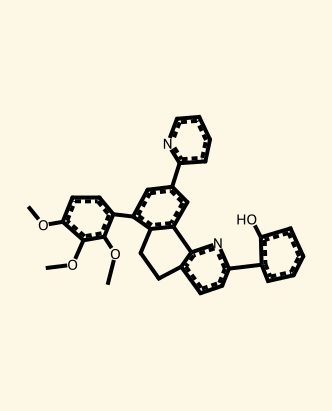 COc1ccc(-c2cc(-c3ccccn3)cc3c2CCc2ccc(-c4ccccc4O)nc2-3)c(OC)c1OC